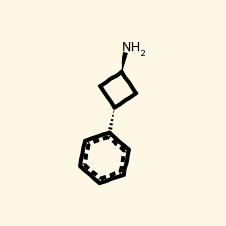 N[C@H]1C[C@H](c2ccccc2)C1